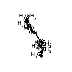 Cc1ncsc1-c1ccc([C@@H](C)NC(=O)[C@H]2C[C@H](O)CN2C(=O)[C@H](NC(=O)CCCCCCCCN2CCN(C(=O)CCC(=O)Nc3cccc(Sc4ncc(N5CCC(C)(N)CC5)nc4N)c3Cl)CC2)C(C)(C)C)cc1